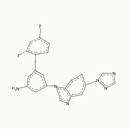 Nc1cc(-c2ccc(F)cc2F)cc(-n2cnc3cc(-n4cncn4)ccc32)c1